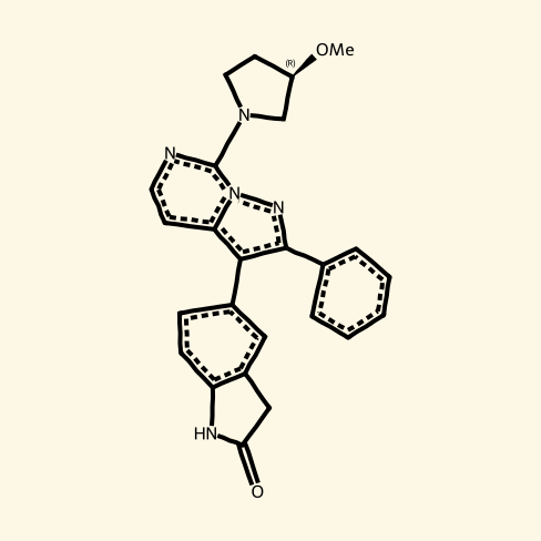 CO[C@@H]1CCN(c2nccc3c(-c4ccc5c(c4)CC(=O)N5)c(-c4ccccc4)nn23)C1